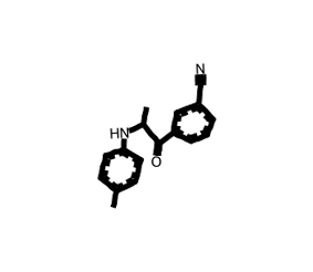 Cc1ccc(NC(C)C(=O)c2cccc(C#N)c2)cc1